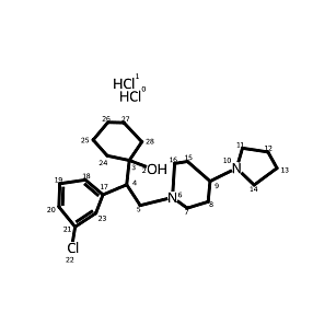 Cl.Cl.OC1(C(CN2CCC(N3CCCC3)CC2)c2cccc(Cl)c2)CCCCC1